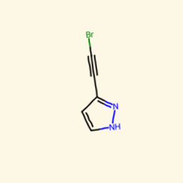 BrC#Cc1cc[nH]n1